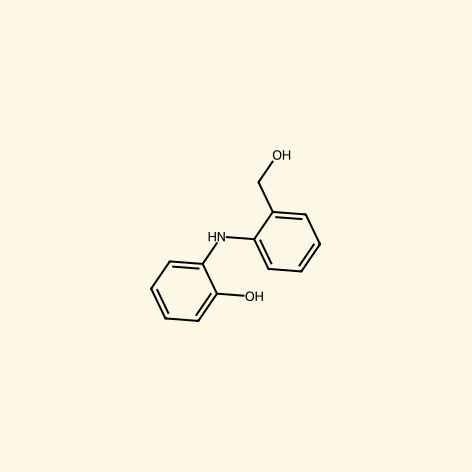 OCc1ccccc1Nc1ccccc1O